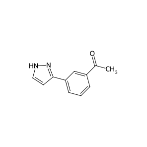 CC(=O)c1cccc(-c2cc[nH]n2)c1